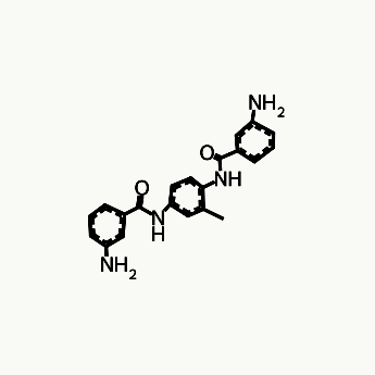 Cc1cc(NC(=O)c2cccc(N)c2)ccc1NC(=O)c1cccc(N)c1